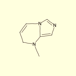 CN1CC=Cn2cncc21